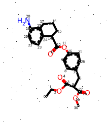 CCOC(=O)C(Cc1ccc(OC(=O)C2CCCc3c(N)cccc32)cc1)C(=O)OC